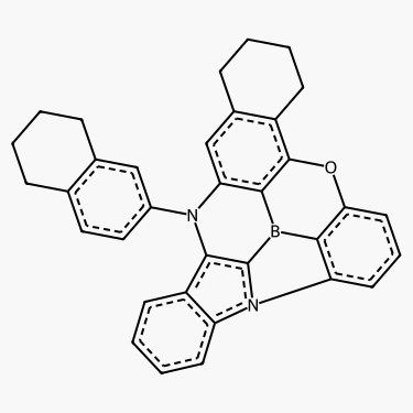 c1cc2c3c(c1)-n1c4c(c5ccccc51)N(c1ccc5c(c1)CCCC5)c1cc5c(c(c1B34)O2)CCCC5